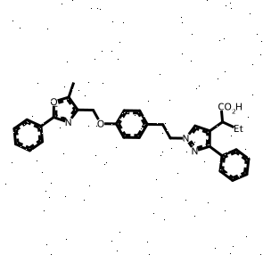 CCC(C(=O)O)c1cn(CCc2ccc(OCc3nc(-c4ccccc4)oc3C)cc2)nc1-c1ccccc1